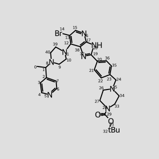 CC(c1ccncc1)N1CCN(c2c(Br)cnc3[nH]c(-c4ccc(CN5CCN(C(=O)OC(C)(C)C)CC5)cc4)nc23)CC1